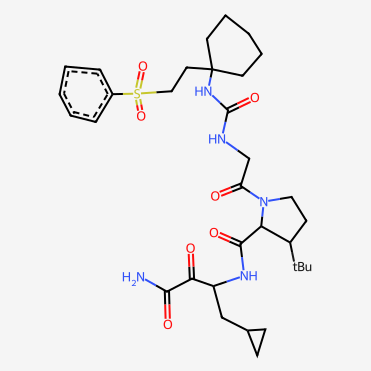 CC(C)(C)C1CCN(C(=O)CNC(=O)NC2(CCS(=O)(=O)c3ccccc3)CCCCC2)C1C(=O)NC(CC1CC1)C(=O)C(N)=O